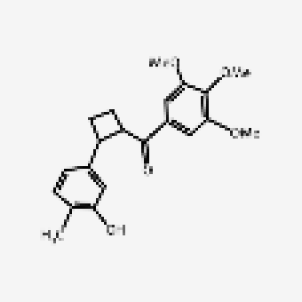 COc1cc(C(=O)C2CCC2c2ccc(C)c(O)c2)cc(OC)c1OC